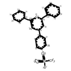 O=S(=O)([O-])C(F)(F)F.c1ccc(-c2cc(-c3ccccc3)[o+]c(-c3ccccc3)c2)cc1